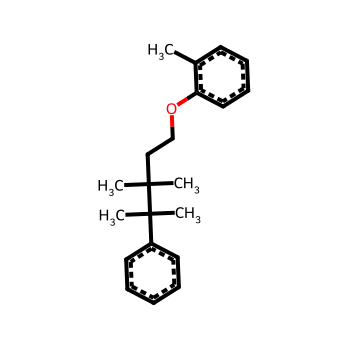 Cc1ccccc1OCCC(C)(C)C(C)(C)c1ccccc1